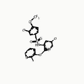 Cc1ncccc1Oc1ncc(Cl)cc1NS(=O)(=O)c1ccc(OC(F)(F)F)c(Cl)c1